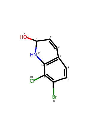 OC1C=Cc2ccc(Br)c(Cl)c2N1